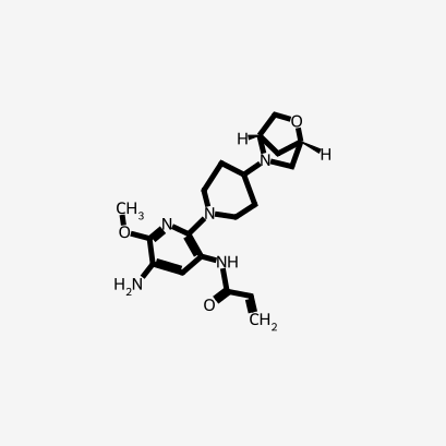 C=CC(=O)Nc1cc(N)c(OC)nc1N1CCC(N2C[C@@H]3C[C@H]2CO3)CC1